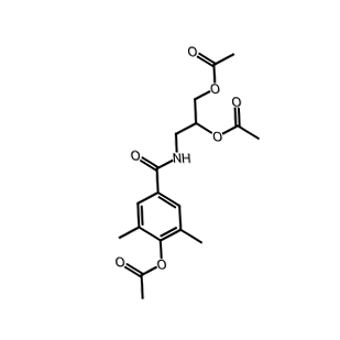 CC(=O)OCC(CNC(=O)c1cc(C)c(OC(C)=O)c(C)c1)OC(C)=O